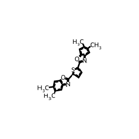 Cc1cc2nc(-c3ccc(-c4nc5cc(C)c(C)cc5o4)s3)oc2cc1C